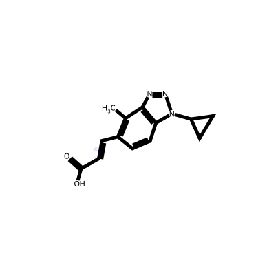 Cc1c(/C=C/C(=O)O)ccc2c1nnn2C1CC1